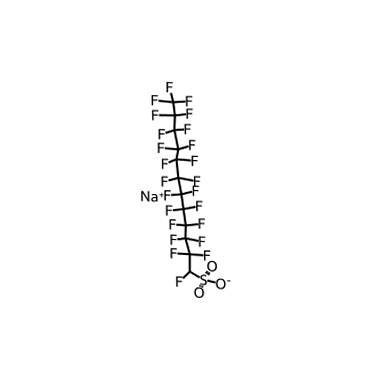 O=S(=O)([O-])C(F)C(F)(F)C(F)(F)C(F)(F)C(F)(F)C(F)(F)C(F)(F)C(F)(F)C(F)(F)C(F)(F)C(F)(F)C(F)(F)F.[Na+]